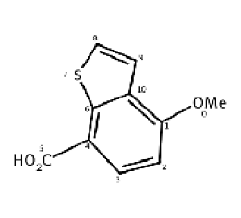 COc1ccc(C(=O)O)c2sccc12